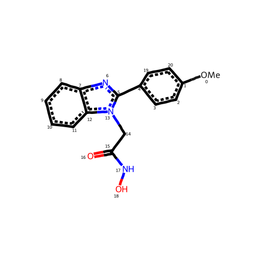 COc1ccc(-c2nc3ccccc3n2CC(=O)NO)cc1